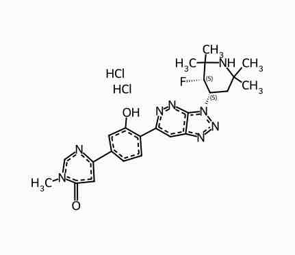 Cl.Cl.Cn1cnc(-c2ccc(-c3cc4nnn([C@H]5CC(C)(C)NC(C)(C)[C@H]5F)c4nn3)c(O)c2)cc1=O